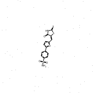 NS(=O)(=O)c1ccc(-c2ccc(/C=C3/SC(=S)NC3=O)o2)cc1